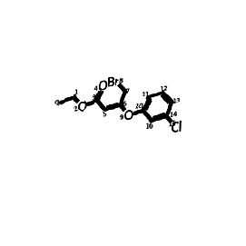 CCOC(=O)C=C(CBr)Oc1cccc(Cl)c1